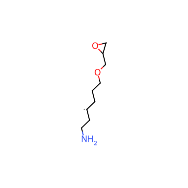 NCC[CH]CCCOCC1CO1